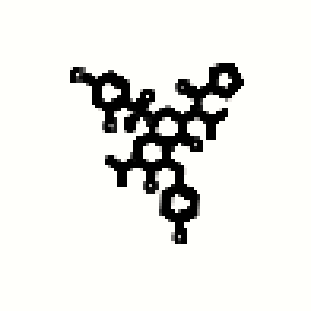 CC(C)N1CC2N(C(=O)C(N(C(=O)C3CCCC3)C(C)C)CN2S(=O)(=O)c2ccc(Cl)cc2Cl)C(Cc2ccc(Cl)cc2)C1=O